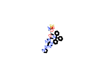 CN1CCC/C1=N\c1ncnc2c1ncn2[C@H]1CN(C(c2ccccc2)(c2ccccc2)c2ccccc2)C[C@@H](CO[P@](=O)(S)N(C)C)O1